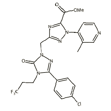 COC(=O)c1nc(Cn2nc(-c3ccc(Cl)cc3)n(CCC(F)(F)F)c2=O)nn1-c1ccncc1C